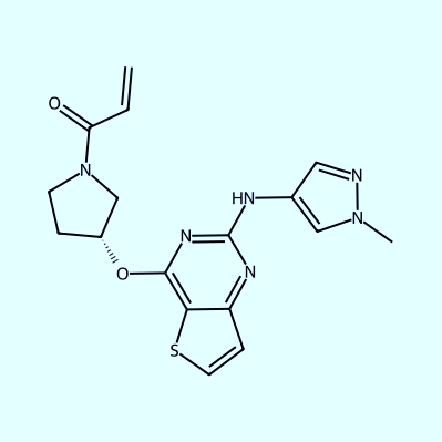 C=CC(=O)N1CC[C@@H](Oc2nc(Nc3cnn(C)c3)nc3ccsc23)C1